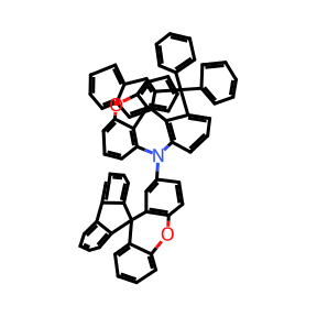 c1ccc(C2(c3ccccc3)c3cc4ccccc4cc3-c3c(N(c4ccc5c(c4)C4(c6ccccc6O5)c5ccccc5-c5ccccc54)c4cccc5oc6ccccc6c45)cccc32)cc1